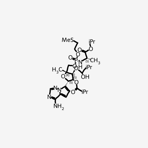 CSCCOP(=O)(N[C@@H](C)C(=O)OC(C)C)OC[C@@]1(C)O[C@@H](c2ccc3c(N)ncnn23)[C@H](OC(=O)C(C)C)[C@@H]1OC(O)C(C)C